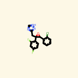 Fc1ccc(C2(Cc3n[c][nH]n3)OC2c2ccccc2Cl)c(F)c1